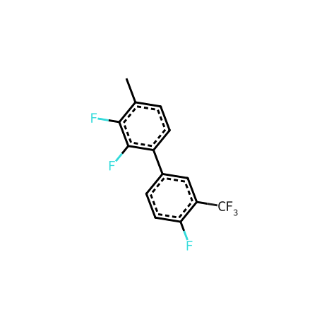 Cc1ccc(-c2ccc(F)c(C(F)(F)F)c2)c(F)c1F